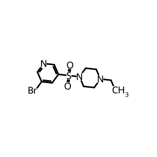 CCN1CCN(S(=O)(=O)c2cncc(Br)c2)CC1